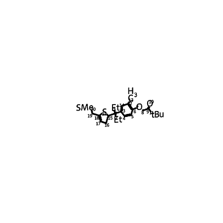 CCC(CC)(c1ccc(OCC(=O)C(C)(C)C)c(C)c1)C1CC=C(CSC)S1